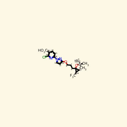 CC(C)(C)[Si](C)(C)OC1(CCCOc2ccn(-c3ccc(C(=O)O)c(Cl)n3)n2)CC1C(F)(F)F